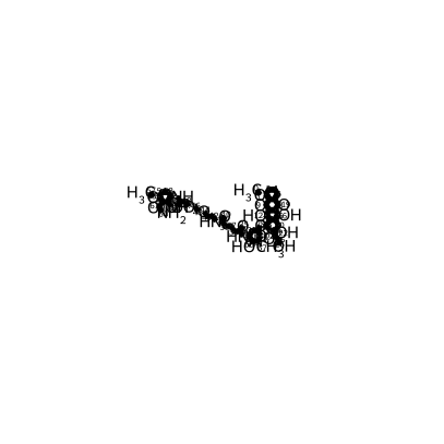 COc1cccc2c1C(=O)c1c(O)c3c(c(O)c1C2=O)C[C@@](O)(C(=O)CO)C[C@H]3OC1C[C@H](NC(=O)CCCC(=O)NCCOCCOCC(=O)Nc2ccc(OC)c(C(N)=O)c2O)[C@H](O)[C@H](C)O1